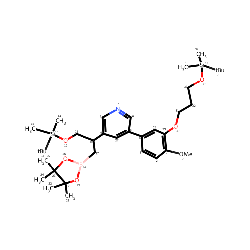 COc1ccc(-c2cncc(C(CO[Si](C)(C)C(C)(C)C)CB3OC(C)(C)C(C)(C)O3)c2)cc1OCCCO[Si](C)(C)C(C)(C)C